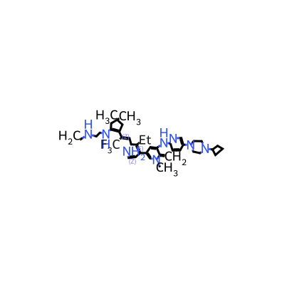 C=CNCCNC1=C(/C(=C/C/C(CC)=C(\C=C/N)C2=CN(C)C(=C)C(Nc3ccc(N4CCN(C5CCC5)CC4)cn3)=C2)C(F)(F)F)CC(C)(C)C1